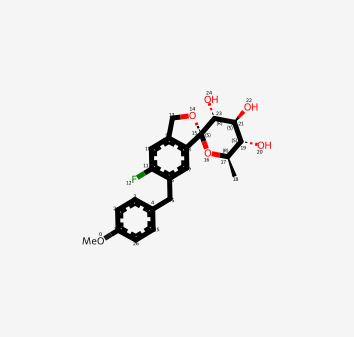 COc1ccc(Cc2cc3c(cc2F)CO[C@]32O[C@H](C)[C@@H](O)[C@H](O)[C@H]2O)cc1